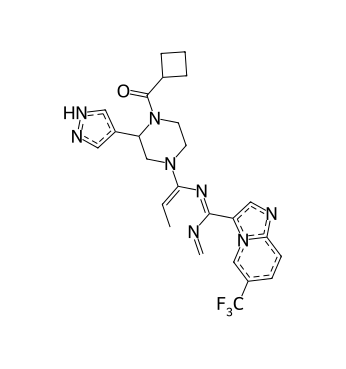 C=N/C(=N\C(=C/C)N1CCN(C(=O)C2CCC2)C(c2cn[nH]c2)C1)c1cnc2ccc(C(F)(F)F)cn12